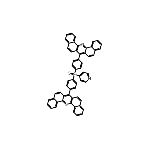 S=P(c1ccncc1)(c1ccc(-c2c3ccc4ccccc4c3nc3c2ccc2ccccc23)cc1)c1ccc(-c2c3ccc4ccccc4c3nc3c2ccc2ccccc23)cc1